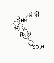 C[C@H]1[C@H](C)CC[C@]2(C(=O)NCCCN3CCS(=O)(=O)CC3)CC[C@]3(C)C(=CC[C@@H]4[C@@]5(C)CC=C(c6ccc(C(=O)O)cc6)C(C)(C)[C@@H]5CC[C@]43C)[C@H]12